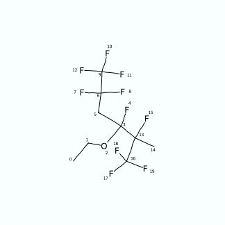 CCOC(F)(CC(F)(F)C(F)(F)F)C(C)(F)C(F)(F)F